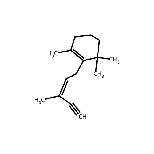 C#CC(C)=CCC1=C(C)CCCC1(C)C